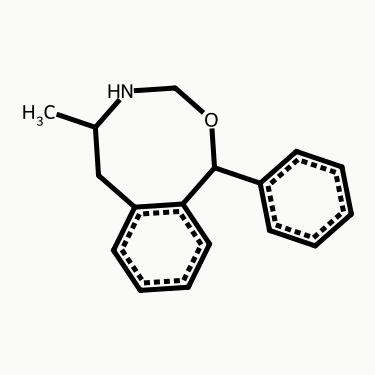 CC1Cc2ccccc2C(c2ccccc2)OCN1